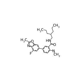 C=Nc1ccc(-c2cc(F)c3nc(C)oc3c2)cc1C(=O)NCC(CCC)CCC